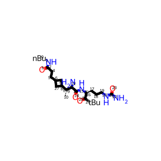 CCCCNC(=O)CCC1CC([C@@H](C)C(N)C(=O)N[C@@H](CCCNC(N)=O)C(=O)C(C)(C)C)C1